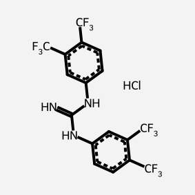 Cl.N=C(Nc1ccc(C(F)(F)F)c(C(F)(F)F)c1)Nc1ccc(C(F)(F)F)c(C(F)(F)F)c1